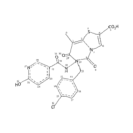 CC1=C2SC(C(=O)O)=CN2C(=O)[N+](Cc2ccc(Cl)cc2)(NC(=O)c2ccc(O)nc2)C1=O